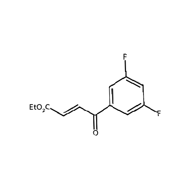 CCOC(=O)C=CC(=O)c1cc(F)cc(F)c1